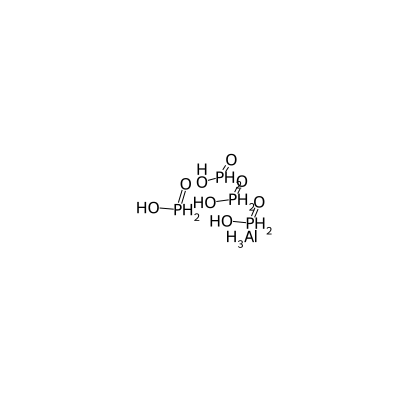 O=[PH2]O.O=[PH2]O.O=[PH2]O.O=[PH2]O.[AlH3]